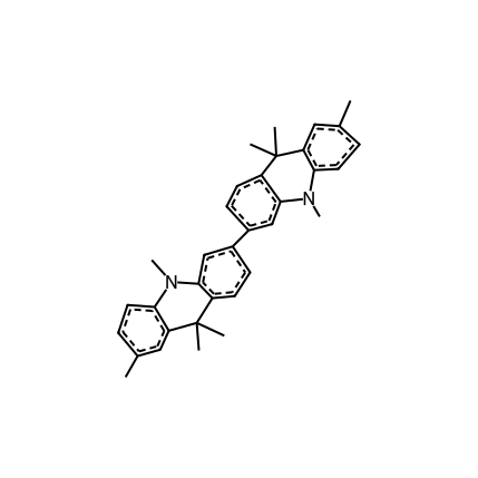 Cc1ccc2c(c1)C(C)(C)c1ccc(-c3ccc4c(c3)N(C)c3ccc(C)cc3C4(C)C)cc1N2C